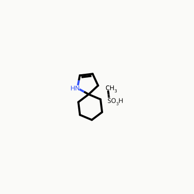 C1=CNC2(C1)CCCCC2.CS(=O)(=O)O